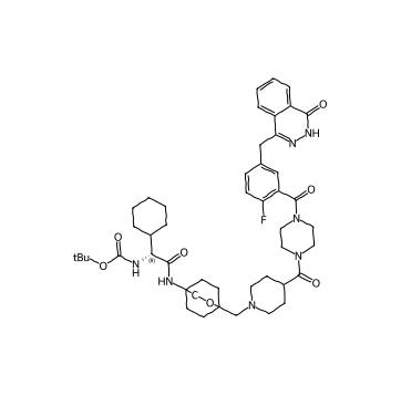 CC(C)(C)OC(=O)N[C@@H](C(=O)NC12CCC(CN3CCC(C(=O)N4CCN(C(=O)c5cc(Cc6n[nH]c(=O)c7ccccc67)ccc5F)CC4)CC3)(CC1)OC2)C1CCCCC1